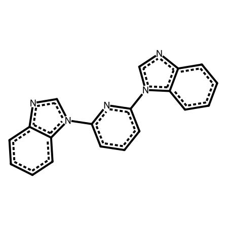 c1cc(-n2cnc3ccccc32)nc(-n2cnc3ccccc32)c1